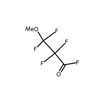 COC(F)(F)C(F)(F)C(=O)F